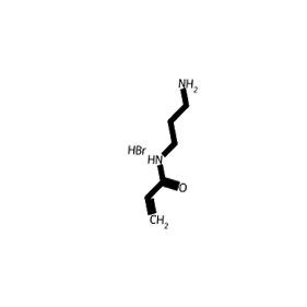 Br.C=CC(=O)NCCCN